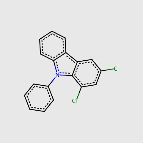 Clc1cc(Cl)c2c(c1)c1ccccc1n2-c1ccccc1